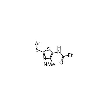 CCC(=O)Nc1sc(SC(C)=O)nc1NC